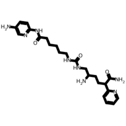 NC(=O)C(CCC(N)CNC(=O)NCCCCCC(=O)Nc1ccc(N)cn1)c1ccccn1